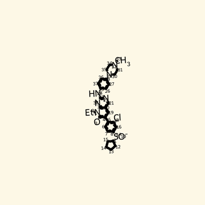 CCn1c(=O)c(-c2ccc([S+]([O-])C3CCCC3)cc2Cl)cc2cnc(Nc3ccc(N4CCN(C)CC4)cc3)nc21